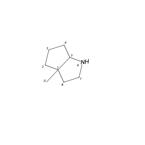 CC12CCCC1NCC2